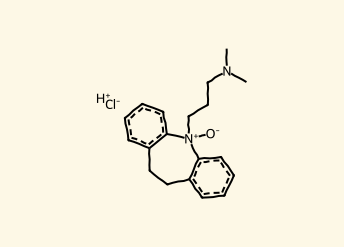 CN(C)CCC[N+]1([O-])c2ccccc2CCc2ccccc21.[Cl-].[H+]